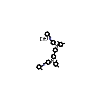 CCOc1ccccc1/C=C/c1ccc(N(c2ccc(-c3ccc(N(c4ccc(/C=C/c5ccccc5C)cc4)c4ccc(C)cc4C)cc3)cc2)c2ccc(C)cc2C)cc1